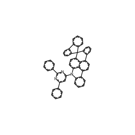 c1ccc(-c2cc(N3c4ccccc4-c4ccc5c6c(ccc3c46)C3(c4ccccc4-c4ccccc43)c3ccccc3-5)nc(-c3ccccc3)n2)cc1